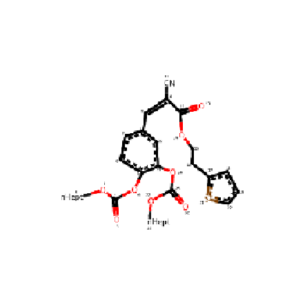 CCCCCCCOC(=O)Oc1ccc(C=C(C#N)C(=O)OCCc2cccs2)cc1OC(=O)OCCCCCCC